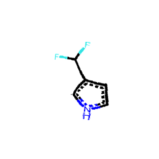 FC(F)c1[c][nH]cc1